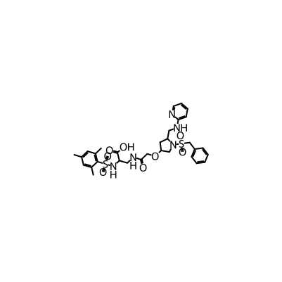 Cc1cc(C)c(S(=O)(=O)NC(CNC(=O)COC2CC(CNc3ccccn3)N(S(=O)(=O)Cc3ccccc3)C2)C(=O)O)c(C)c1